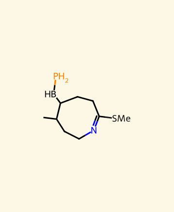 CS/C1=N/CCC(C)C(BP)CC1